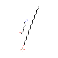 CC(O)CCCCN.CCCCCCCCCCCCCCCCOS(=O)(=O)O